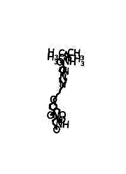 CC1(C)CC(C)(C)C1NC(=O)c1ccc(N2CCN(CCCCCOc3ccc4c(c3)CC(=O)N(C3CCC(=O)NC3=O)C4=O)CC2)nc1